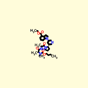 CCCCOC(=O)N(C)[C@@H](C)C(=O)NC(C)C(=O)N1CCC[C@H]1c1cncc(-n2ccc3c(C(=O)OCC)cccc32)c1